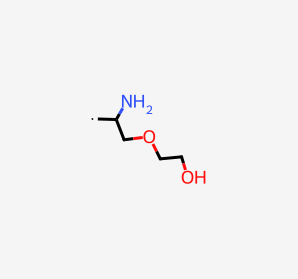 [CH2]C(N)COCCO